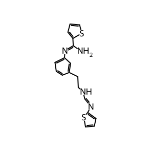 NC(=Nc1cccc(CCNC=Nc2cccs2)c1)c1cccs1